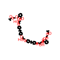 C=C(C)C(=O)OCCOC(=O)c1ccccc1C(=O)OCC(O)COc1ccc(C(C)(C)c2ccc(OCC(O)COc3ccc(C(C)(C)c4ccc(OCC(O)COC(=O)c5ccccc5C(=O)OCCOC(=O)C(=C)C)cc4)cc3)cc2)cc1